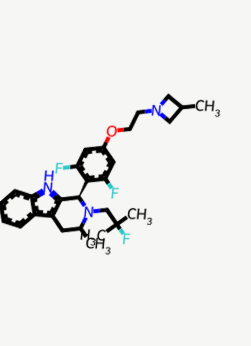 CC1CN(CCOc2cc(F)c([C@@H]3c4[nH]c5ccccc5c4CC(C)N3CC(C)(C)F)c(F)c2)C1